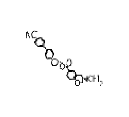 CN1COc2ccc(C(=O)OCOc3ccc(-c4ccc(C#N)cc4)cc3)cc2C1